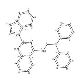 c1ccc(C(CNc2nc(-n3cnc4cncnc43)nc3ccccc23)c2ccccc2)cc1